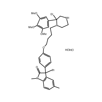 CCC1(c2cc(OC)c(OC)c(OC)c2)CNCCN1CCCCOc1ccc(C2(C(C)C)C(=O)N(C)c3ccc(C)cc32)cc1.Cl.Cl